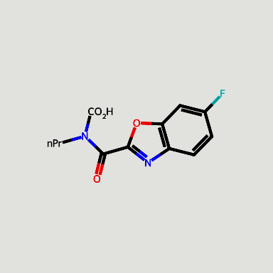 CCCN(C(=O)O)C(=O)c1nc2ccc(F)cc2o1